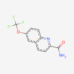 NC(=O)c1ccc2cc(OC(F)(F)F)c[c]c2n1